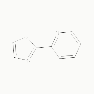 [c]1cccc(-c2nccs2)n1